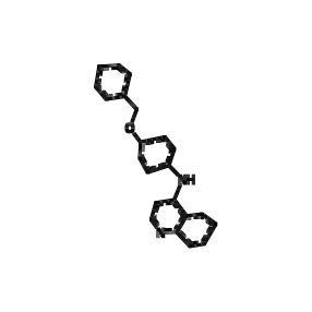 c1ccc(COc2ccc(Nc3ccnc4ccccc34)cc2)cc1